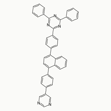 c1ccc(-c2nc(-c3ccccc3)nc(-c3ccc(-c4ccc(-c5ccc(-c6cncnc6)cc5)c5ccccc45)cc3)n2)cc1